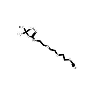 C#COCCOCCOCCNC(=O)OC(C)(C)C